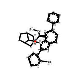 CC(C)(C)OC(=O)NC1C2CCC1CN(n1c(-c3cccnc3N)nc3ccc(-c4ccccc4)nc31)C2